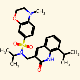 CC(C)c1cccc2cc(CN(C(C)C)S(=O)(=O)c3ccc4c(c3)OCCN4C)c(=O)[nH]c12